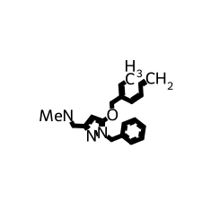 C=C/C=C\C(=C/C)COc1cc(CNC)nn1Cc1ccccc1